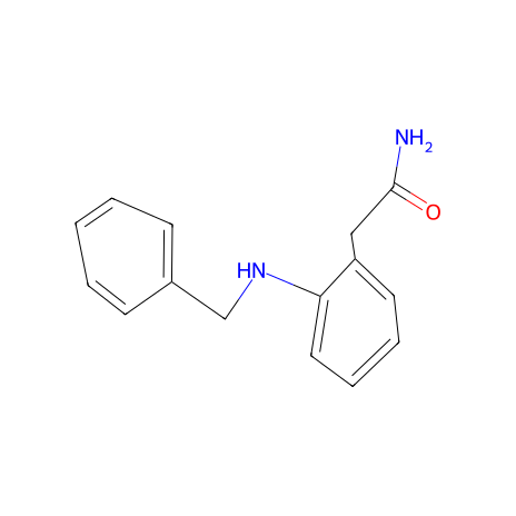 NC(=O)Cc1ccccc1NCc1ccccc1